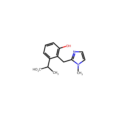 CC(C(=O)O)c1cccc(O)c1Cc1nccn1C